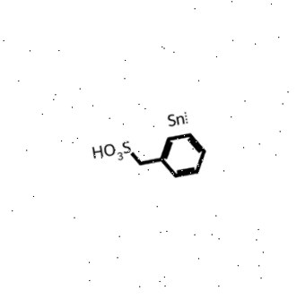 O=S(=O)(O)Cc1ccccc1.[Sn]